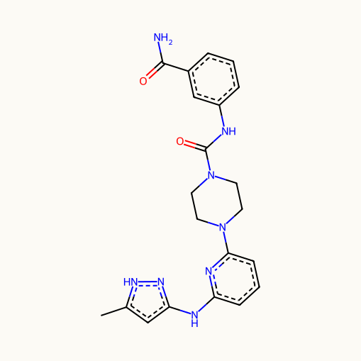 Cc1cc(Nc2cccc(N3CCN(C(=O)Nc4cccc(C(N)=O)c4)CC3)n2)n[nH]1